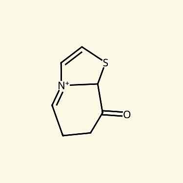 O=C1CCC=[N+]2C=CSC12